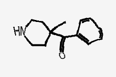 CC1(C(=O)c2ccccc2)CCNCC1